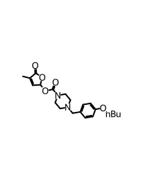 CCCCOc1ccc(CN2CCN(C(=O)OC3C=C(C)C(=O)O3)CC2)cc1